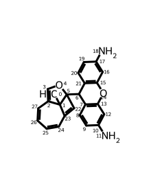 CC12C3=COC1(C1c4ccc(N)cc4Oc4cc(N)ccc41)C=C2C=CC=C3